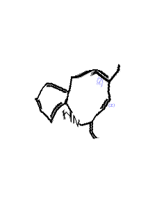 C=C1/C=C\C(C)=C/Cc2ccccc2N1